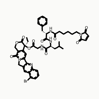 CC[C@@]1(OC(=O)CNC(=O)[C@H](CC(C)C)NC(=O)[C@H](Cc2ccccc2)NC(=O)CCCCCN2C(=O)C=CC2=O)C(=O)OCc2c1cc1n(c2=O)Cc2cc3c(Br)cccc3nc2-1